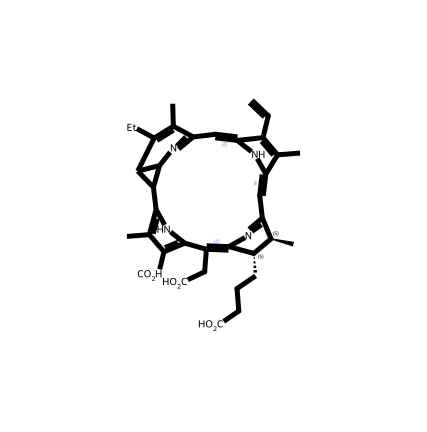 C=Cc1c(C)/c2[nH]/c1=C\C1=NC3C(C(CC)=C1C)C3c1[nH]c(c(C(=O)O)c1C)/C(CC(=O)O)=C1N=C(/C=2)[C@@H](C)[C@@H]\1CCCC(=O)O